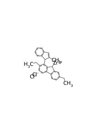 CCc1ccc2c(c1)[CH]([Zr+2])c1c-2ccc(CC)c1C1C(C)=Cc2ccccc21.[Cl-].[Cl-]